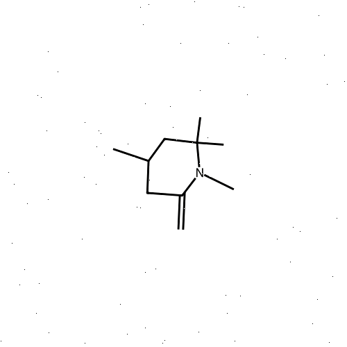 C=C1CC(C)CC(C)(C)N1C